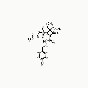 CCC1(CC)C(=O)N(C(=O)NCCc2ccc(O)cc2)C1S(=O)(=O)CCOC